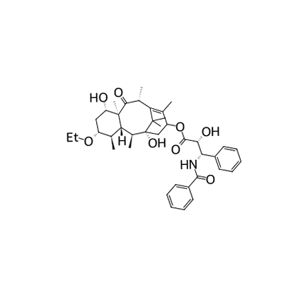 CCO[C@@H]1C[C@H](O)[C@@]2(C)C(=O)[C@H](C)C3=C(C)C(OC(=O)[C@H](O)[C@@H](NC(=O)c4ccccc4)c4ccccc4)C[C@@](O)([C@@H](C)[C@@H]2[C@H]1C)C3(C)C